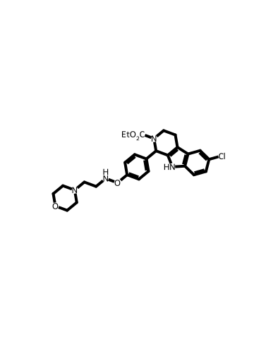 CCOC(=O)N1CCc2c([nH]c3ccc(Cl)cc23)C1c1ccc(ONCCN2CCOCC2)cc1